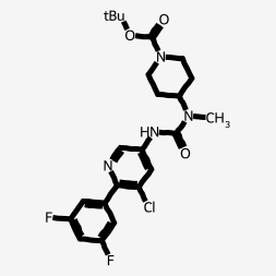 CN(C(=O)Nc1cnc(-c2cc(F)cc(F)c2)c(Cl)c1)C1CCN(C(=O)OC(C)(C)C)CC1